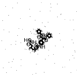 CC(CC(=O)NO)CC(C)(C)CC(=O)Nc1ccc(C(C(=O)NC2CCCC2)C(=O)NC2CCCC2)cc1